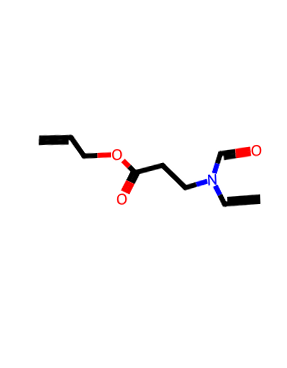 C=CCOC(=O)CCN(C=C)C=O